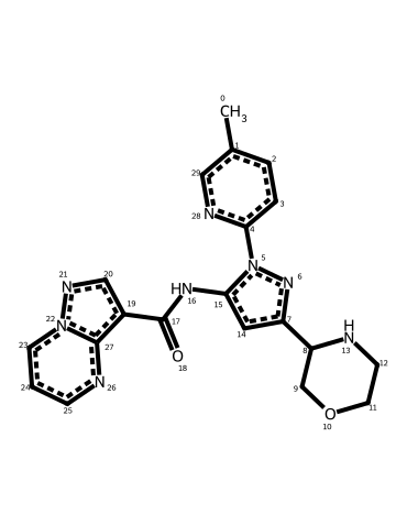 Cc1ccc(-n2nc(C3COCCN3)cc2NC(=O)c2cnn3cccnc23)nc1